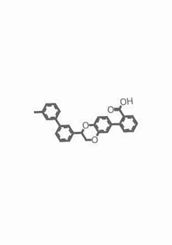 Cc1cccc(-c2cccc(C3COc4cc(-c5ccccc5C(=O)O)ccc4O3)c2)c1